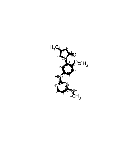 CNc1ccnc(Nc2ccc(OC)c(N3CC(C)CC3=O)c2)n1